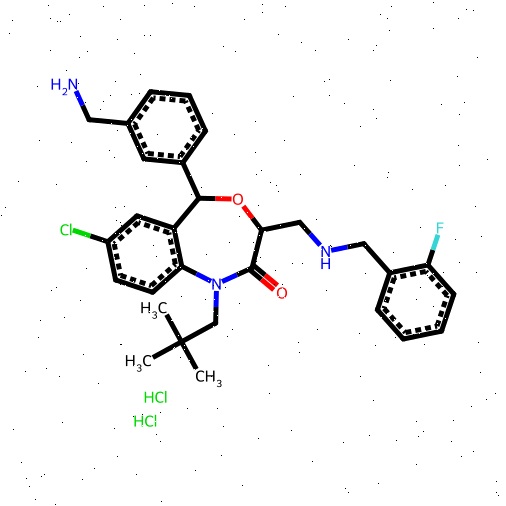 CC(C)(C)CN1C(=O)C(CNCc2ccccc2F)OC(c2cccc(CN)c2)c2cc(Cl)ccc21.Cl.Cl